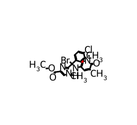 CCOC(=O)c1cn(C)c(C(Br)(Nc2cc(C)c(=O)n(C)c2)c2ccc(Cl)cc2)n1